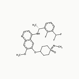 CN=S1(=O)CCC(Oc2cc3c(N[C@H](C)c4cccc(C(F)F)c4F)ccnc3cc2OC)CC1